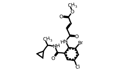 COC(=O)C=CC(=O)Nc1c(Br)cc(Cl)cc1C(=O)NC(C)C1CC1